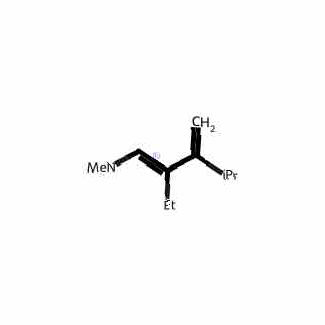 C=C(/C(=C/NC)CC)C(C)C